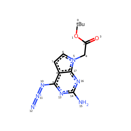 CC(C)(C)OC(=O)Cn1ccc2c(N=[N+]=[N-])nc(N)nc21